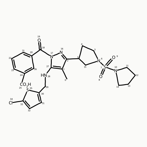 Cc1c(C2CCN(S(=O)(=O)N3CCCC3)C2)nn(C(=O)c2cccc(C(=O)O)c2)c1NCc1ccc(Cl)s1